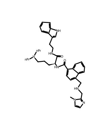 CCCN(CCC)CCC[C@H](NC(=O)c1ccc(CNCc2nccn2C)c2ccccc12)C(=O)NCCc1c[nH]c2ccccc12